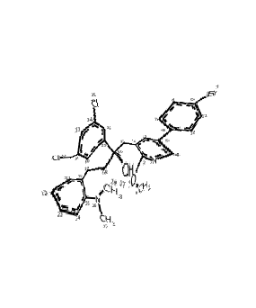 COc1ncc(-c2ccc(Br)cc2)cc1CC(O)(CCc1ccccc1N(C)C)c1cc(Cl)cc(Cl)c1